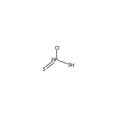 S=[PH](S)Cl